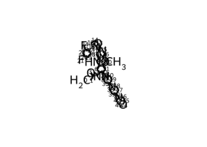 C=CC(=O)Nc1cc(Nc2cc(N3OCC[C@@H]3c3ccc(F)cc3F)ncn2)c(OC)cc1N1CCC(N2CCC(N3CCOCC3)CC2)CC1